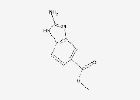 COC(=O)c1ccc2[nH]c(N)nc2c1